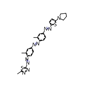 Cc1nnc(/N=N/c2ccc(/N=N/c3ccc(/N=N/c4ccc(N5CCCC5)s4)cc3C)cc2C)s1